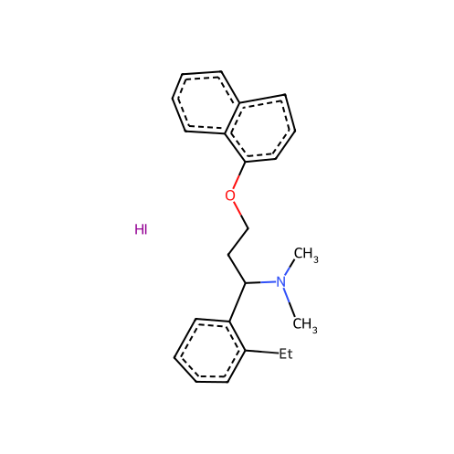 CCc1ccccc1C(CCOc1cccc2ccccc12)N(C)C.I